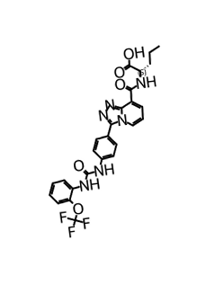 CCC[C@H](NC(=O)c1cccn2c(-c3ccc(NC(=O)Nc4ccccc4OC(F)(F)F)cc3)nnc12)C(=O)O